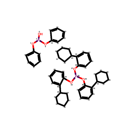 OP(Oc1ccccc1)Oc1ccccc1.c1ccc(C2CCCCC2)c(OP(Oc2ccccc2C2CCCCC2)Oc2ccccc2C2CCCCC2)c1